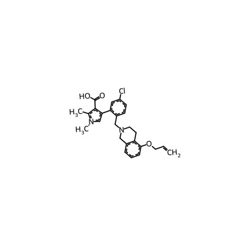 C=CCOc1cccc2c1CCN(Cc1ccc(Cl)cc1-c1cn(C)c(C)c1C(=O)O)C2